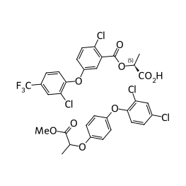 COC(=O)C(C)Oc1ccc(Oc2ccc(Cl)cc2Cl)cc1.C[C@H](OC(=O)c1cc(Oc2ccc(C(F)(F)F)cc2Cl)ccc1Cl)C(=O)O